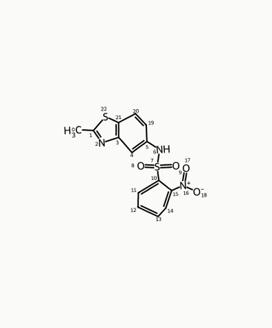 Cc1nc2cc(NS(=O)(=O)c3ccccc3[N+](=O)[O-])ccc2s1